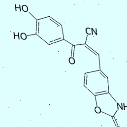 N#C/C(=C/c1ccc2oc(=O)[nH]c2c1)C(=O)c1ccc(O)c(O)c1